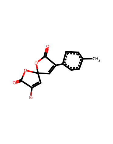 Cc1ccc(C2=CC3(C=C(Br)C(=O)O3)OC2=O)cc1